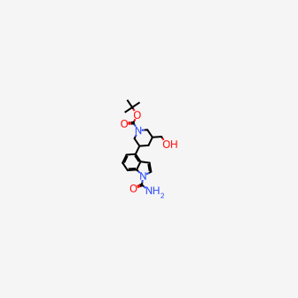 CC(C)(C)OC(=O)N1CC(CO)CC(c2cccc3c2ccn3C(N)=O)C1